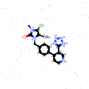 CCCCc1c(Cl)n(C)c(=O)n1Cc1ccc(-c2ccncc2-c2nnn[nH]2)cc1